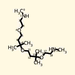 CNCCOCCC(C)(C)OCCC(C)(C)OCCNC